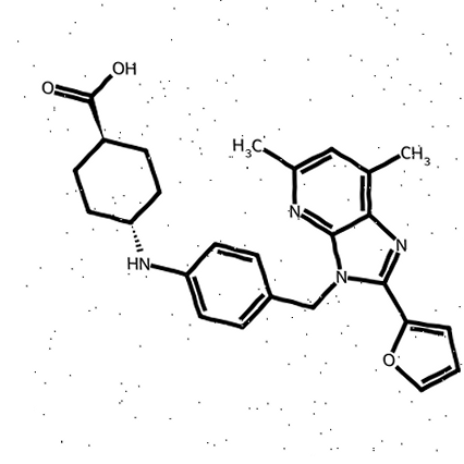 Cc1cc(C)c2nc(-c3ccco3)n(Cc3ccc(N[C@H]4CC[C@H](C(=O)O)CC4)cc3)c2n1